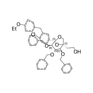 CCOc1ccc(Cc2cc([C@]34OC[C@](CCO)(O3)[C@@H](OCc3ccccc3)[C@H](OCc3ccccc3)[C@H]4OCc3ccccc3)ccc2Cl)cc1